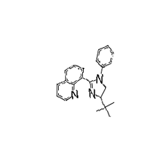 CC(C)(C)C1CN(c2ccccc2)C(c2cccc3cccnc23)=N1